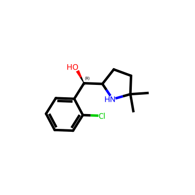 CC1(C)CCC([C@H](O)c2ccccc2Cl)N1